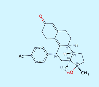 CC(=O)c1ccc([C@H]2C[C@@]3(C)[C@@H](CC[C@]3(C)O)[C@@H]3CCC4=CC(=O)CCC4=C32)cc1